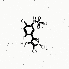 CCS(=O)(=O)Nc1cc(-c2nn(C)c(C#N)c2C)c(F)cc1Cl